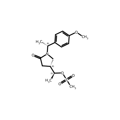 COc1ccc([C@@H](C)N2C[C@H]([C@H](C)OS(C)(=O)=O)CC2=O)cc1